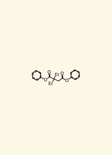 CCC(CC)(CC(=O)Oc1ccccc1)C(=O)Oc1ccccc1